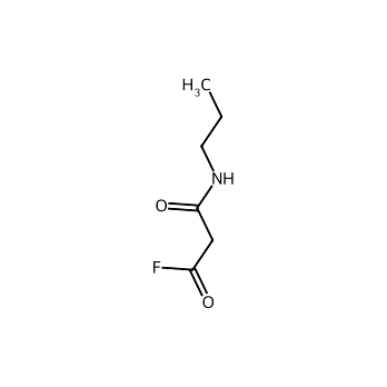 CCCNC(=O)CC(=O)F